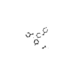 CC(=O)N1CCC(C(=O)N2CC[C@@H](N(C)C(=O)c3cccnc3)[C@H](c3ccc(Cl)c(Cl)c3)C2)CC1.O=C(O)C(F)(F)F